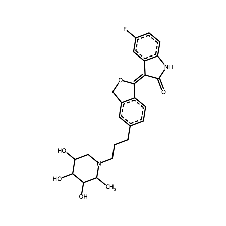 CC1C(O)C(O)C(O)CN1CCCc1ccc2c(c1)COC2=C1C(=O)Nc2ccc(F)cc21